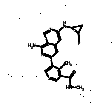 CNC(=O)c1cncc(-c2cc3cc(NC4CC4F)ncc3c(N)n2)c1C